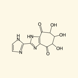 O=C1c2nc(-c3ncc[nH]3)[nH]c2C(=O)C(O)C(O)C1O